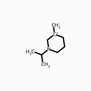 [CH2-][C+]1CCCN(C(C)C)C1